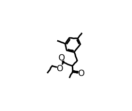 CCOC(=O)C(Cc1cc(C)cc(C)c1)C(C)=O